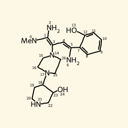 CN/C(N)=C(/C=C(\N)c1ccccc1O)N1CCN(C2CCNCC2O)CC1